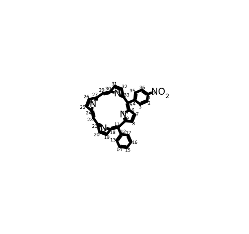 O=[N+]([O-])c1ccc(C2=C3C=CC(=N3)C(c3ccccc3)=C3C=CC(=N3)C=C3C=CC(=N3)C=C3C=CC2=N3)cc1